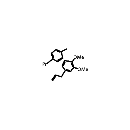 C=CCc1ccc(OC)c(OC)c1.Cc1ccc(C(C)C)cc1